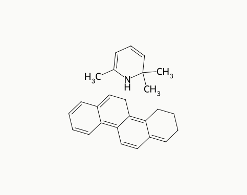 C1=c2ccc3c(c2CCC1)CC=c1ccccc1=3.CC1=CC=CC(C)(C)N1